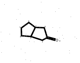 O=C1CC2CCCC2C1